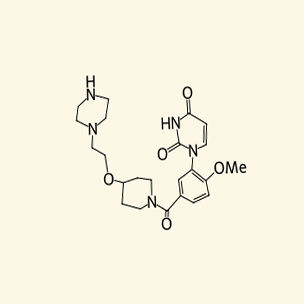 COc1ccc(C(=O)N2CCC(OCCN3CCNCC3)CC2)cc1-n1ccc(=O)[nH]c1=O